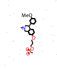 COc1cccc(C2CN(C)Cc3cc(OCCCOS(C)(=O)=O)ccc32)c1